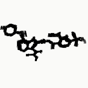 COc1cc(S(C)(=O)=O)ccc1NCC#Cc1sc2c(NC3CCNCC3)cccc2c1C(F)C(F)F